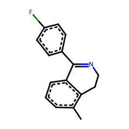 Cc1cccc2c1CCN=C2c1ccc(F)cc1